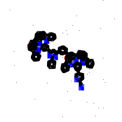 N#Cc1ccc(-c2cc(-n3c4ccccc4c4ccccc43)c(-n3c4ccccc4c4cc(-c5cccc(-c6cc(-c7cc(-n8c9ccccc9c9ccccc98)c(-n8c9ccccc9c9ccccc98)c(-n8c9ccccc9c9ccccc98)c7)nc(-c7ccccc7)n6)c5)ccc43)c(-n3c4ccccc4c4ccccc43)c2)cn1